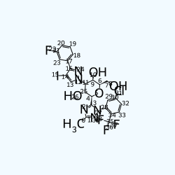 Cc1nc([C@@H]2O[C@H](CO)[C@H](O)[C@H](n3cc(I)c(-c4cccc(F)c4)n3)[C@H]2O)n(-c2cc(Cl)ccc2C(F)(F)F)n1